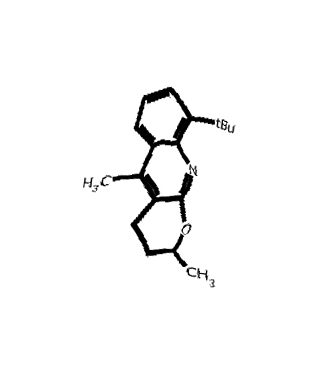 Cc1c2c(nc3c(C(C)(C)C)cccc13)OC(C)CC2